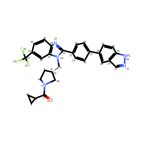 O=C(C1CC1)N1CC[C@H](Cn2c(-c3ccc(-c4ccc5[nH]ncc5c4)cc3)nc3ccc(C(F)(F)F)cc32)C1